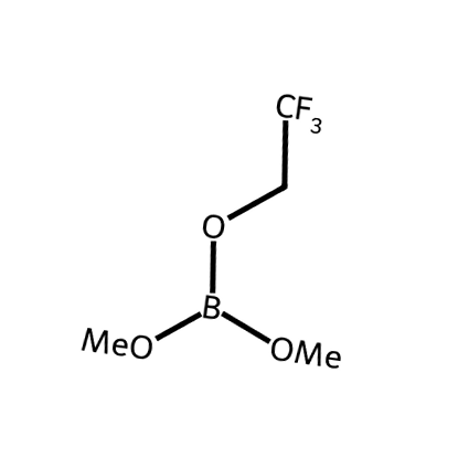 COB(OC)OCC(F)(F)F